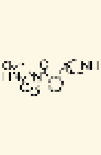 O=C1CCC(N2C(=O)c3cccc(CN4C5CCC4CNC5)c3C2=O)C(=O)N1